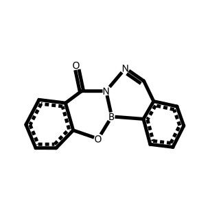 O=C1c2ccccc2OB2c3ccccc3C=NN21